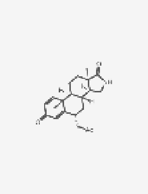 CC(=O)S[C@H]1C[C@@H]2[C@H](CC[C@]3(C)C(=O)NC[C@@H]23)[C@@]2(C)C=CC(=O)C=C12